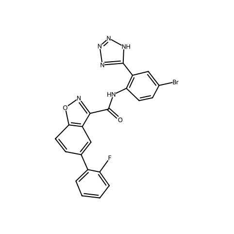 O=C(Nc1ccc(Br)cc1-c1nnn[nH]1)c1noc2ccc(-c3ccccc3F)cc12